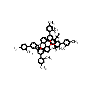 Cc1ccc(-c2ccc3c(c2)c2cc(-c4ccc(C)cc4C)ccc2n3-c2cccc(C#N)c2-c2c(-c3cc(C(F)(F)F)cc(C(F)(F)F)c3)cccc2-n2c3ccc(-c4ccc(C)cc4C)cc3c3cc(-c4ccc(C)cc4C)ccc32)c(C)c1